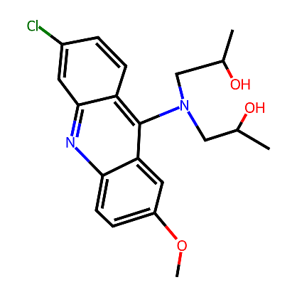 COc1ccc2nc3cc(Cl)ccc3c(N(CC(C)O)CC(C)O)c2c1